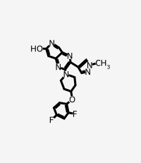 Cn1cc(-c2nc3cnc(O)cc3nc2N2CCC(Oc3ccc(F)cc3F)CC2)cn1